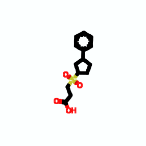 O=C(O)CCS(=O)(=O)C1CCC(c2ccccc2)C1